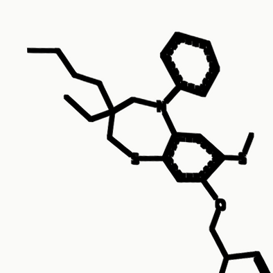 CCCCC1(CC)CSc2cc(OCC(C)C=O)c(SC)cc2N(c2ccccc2)C1